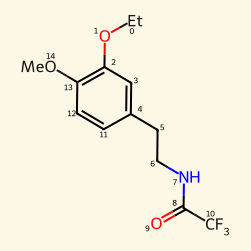 CCOc1cc(CCNC(=O)C(F)(F)F)ccc1OC